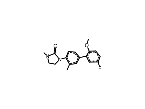 COc1ccc(F)cc1-c1ccc(N2CCN(C)C2=O)c(C)c1